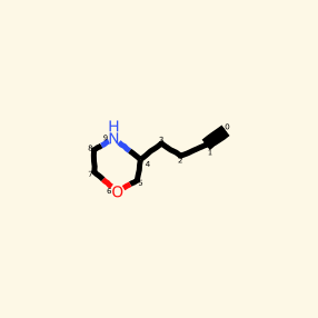 C#CCCC1COCCN1